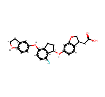 O=C(O)C[C@@H]1COc2cc(O[C@@H]3CCc4c(Oc5ccc6c(c5)CCO6)ccc(F)c43)ccc21